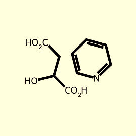 O=C(O)CC(O)C(=O)O.c1ccncc1